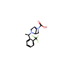 CC(c1ccccc1C(F)(F)F)N1CC2CC1CN2C(=O)O